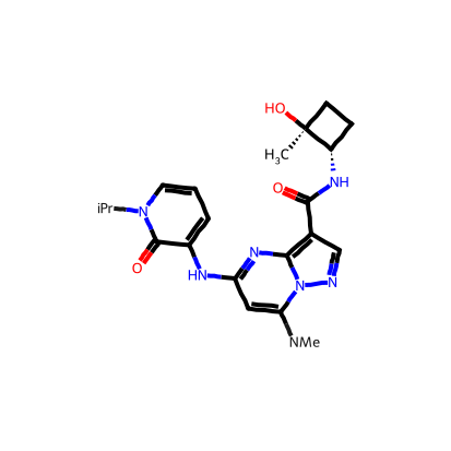 CNc1cc(Nc2cccn(C(C)C)c2=O)nc2c(C(=O)N[C@H]3CC[C@]3(C)O)cnn12